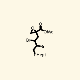 CCCCCCCCC(Br)C(Br)CC1(C(=O)OC)CO1